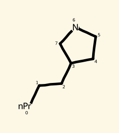 CCCCCC1CC[N]C1